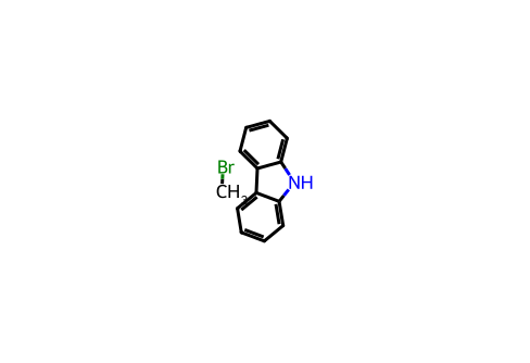 CBr.c1ccc2c(c1)[nH]c1ccccc12